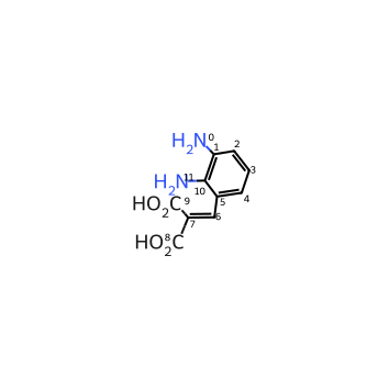 Nc1cccc(C=C(C(=O)O)C(=O)O)c1N